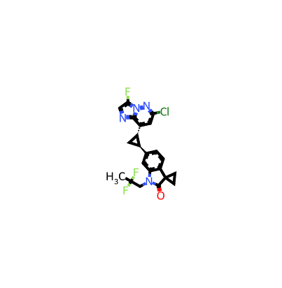 CC(F)(F)CN1C(=O)C2(CC2)c2ccc([C@H]3C[C@@H]3c3cc(Cl)nn4c(F)cnc34)cc21